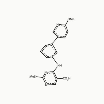 COc1ccc(-c2cccc(Nc3nc(SC)ncc3C(=O)O)c2)cn1